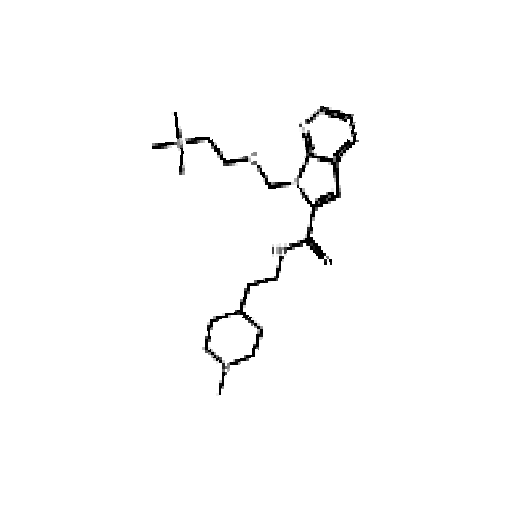 CN1CCC(CCNC(=O)c2cc3cccnc3n2COCC[Si](C)(C)C)CC1